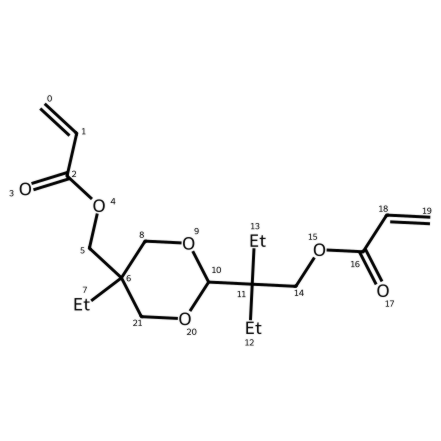 C=CC(=O)OCC1(CC)COC(C(CC)(CC)COC(=O)C=C)OC1